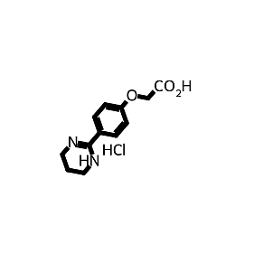 Cl.O=C(O)COc1ccc(C2=NCCCN2)cc1